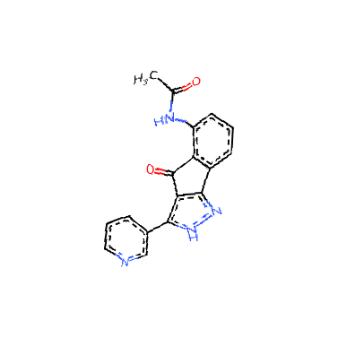 CC(=O)Nc1cccc2c1C(=O)c1c-2n[nH]c1-c1cccnc1